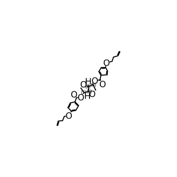 C=CCCOc1ccc(C(=O)O[C@H]2CO[C@H]3[C@@H]2OC[C@H]3OC(=O)c2ccc(OCCC=C)cc2)cc1